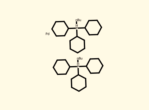 CCCC[PH](C1CCCCC1)(C1CCCCC1)C1CCCCC1.CCCC[PH](C1CCCCC1)(C1CCCCC1)C1CCCCC1.[Pd]